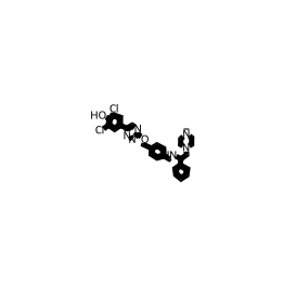 CN1CCN(CC(NCc2ccc(COc3ncc(-c4cc(Cl)c(O)c(Cl)c4)nn3)cc2)c2ccccc2)CC1